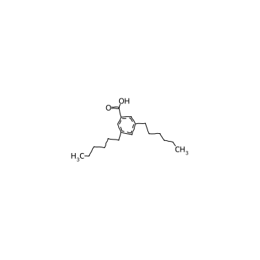 CCCCCCc1cc(CCCCCC)cc(C(=O)O)c1